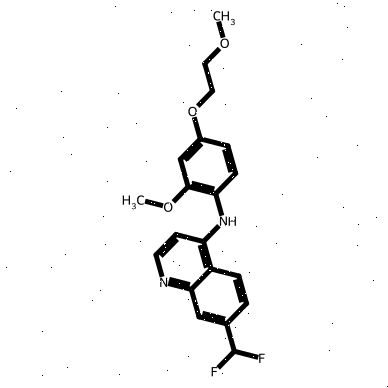 COCCOc1ccc(Nc2ccnc3cc(C(F)F)ccc23)c(OC)c1